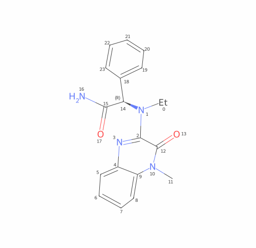 CCN(c1nc2ccccc2n(C)c1=O)[C@@H](C(N)=O)c1ccccc1